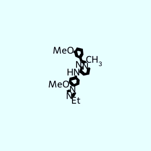 CCc1cn(-c2ccc(Nc3cccn4c(C)c(-c5cccc(OC)c5)nc34)cc2OC)cn1